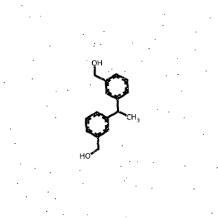 CC(c1cccc(CO)c1)c1cccc(CO)c1